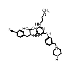 COCCNc1nc(Nc2cccc(CN3CCNCC3)c2)nc(NC(Cc2ccc(C#N)cc2)C(=O)O)n1